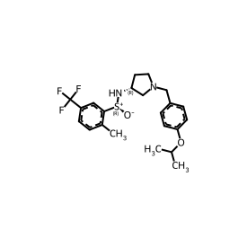 Cc1ccc(C(F)(F)F)cc1[S@+]([O-])N[C@@H]1CCN(Cc2ccc(OC(C)C)cc2)C1